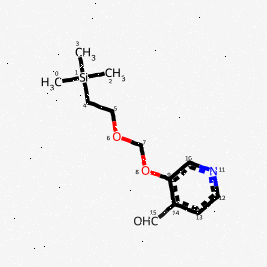 C[Si](C)(C)CCOCOc1cnccc1C=O